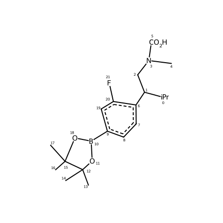 CC(C)C(CN(C)C(=O)O)c1ccc(B2OC(C)(C)C(C)(C)O2)cc1F